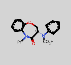 CC(C)N1C(=O)[C@@H](N(C(=O)O)c2ccccc2)COc2ccccc21